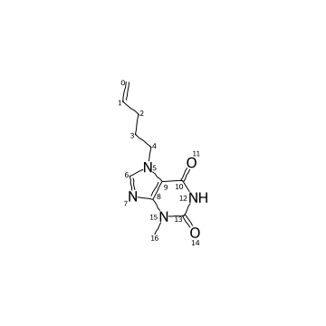 C=CCCCn1cnc2c1c(=O)[nH]c(=O)n2C